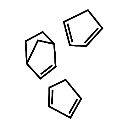 C1=CC2CCC1C2.C1=CCC=C1.C1=CCC=C1